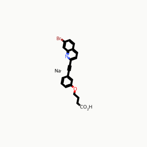 O=C(O)CCCOc1cccc(C#Cc2ccc3ccc(Br)cc3n2)c1.[Na]